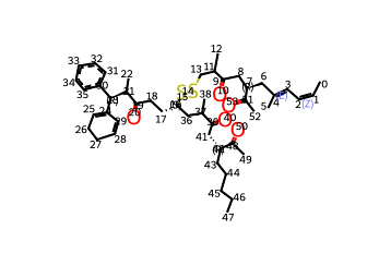 C/C=C\C=C(/C)C[C@H](CC(=O)C(C)CSS[C@@H](CCC(=O)C(C)[C@@H](C1=CCCC=C1)c1ccccc1)CC(C)C(=O)C[C@@H](CCCCC)C(C)=O)C(C)=O